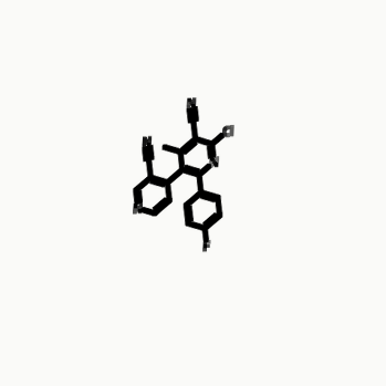 Cc1c(C#N)c(Cl)nc(-c2ccc(F)cc2)c1-c1ccncc1C#N